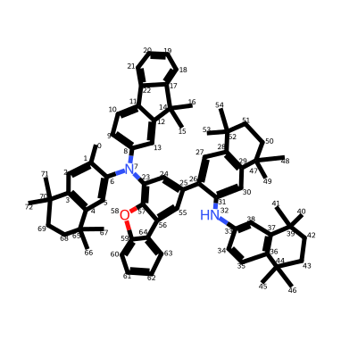 Cc1cc2c(cc1N(c1ccc3c(c1)C(C)(C)c1ccccc1-3)c1cc(-c3cc4c(cc3Nc3ccc5c(c3)C(C)(C)CCC5(C)C)C(C)(C)CCC4(C)C)cc3c1oc1ccccc13)C(C)(C)CCC2(C)C